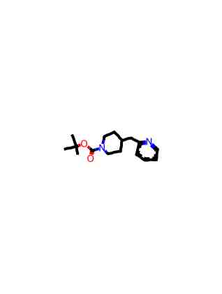 CC(C)(C)OC(=O)N1CCC(Cc2ccccn2)CC1